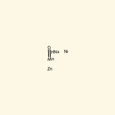 [NaH].[Ni].[O]=[Mn].[Zn]